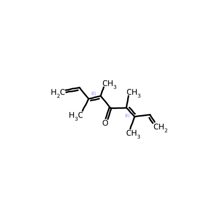 C=C/C(C)=C(\C)C(=O)/C(C)=C(\C)C=C